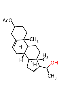 CC(=O)O[C@H]1CC[C@@]2(C)C(=CC[C@H]3[C@@H]4CC[C@H]([C@H](C)O)[C@@]4(C)CC[C@@H]32)C1